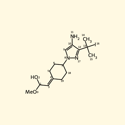 COC(O)C=C1CCC(n2cc(N)c(C(C)(C)I)n2)CC1